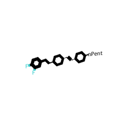 CCCCC[C@H]1CC[C@H](/C=C/[C@H]2CC[C@H](CCc3ccc(F)c(F)c3)CC2)CC1